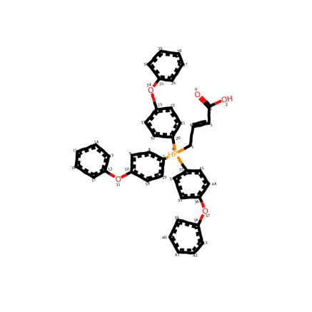 O=C(O)C=CC[PH](c1ccc(Oc2ccccc2)cc1)(c1ccc(Oc2ccccc2)cc1)c1ccc(Oc2ccccc2)cc1